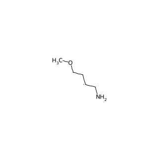 COCC[CH]CN